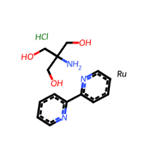 Cl.NC(CO)(CO)CO.[Ru].c1ccc(-c2ccccn2)nc1